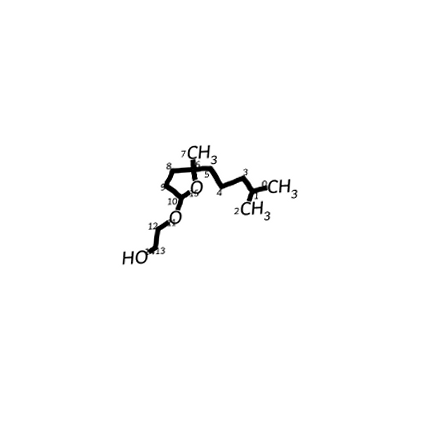 CC(C)CCCC1(C)CCC(OCCO)O1